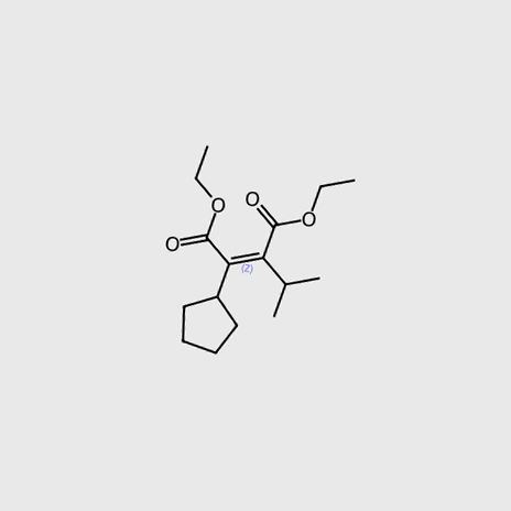 CCOC(=O)/C(=C(\C(=O)OCC)C1CCCC1)C(C)C